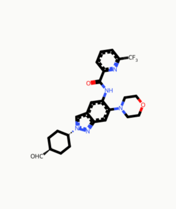 O=C[C@H]1CC[C@H](n2cc3cc(NC(=O)c4cccc(C(F)(F)F)n4)c(N4CCOCC4)cc3n2)CC1